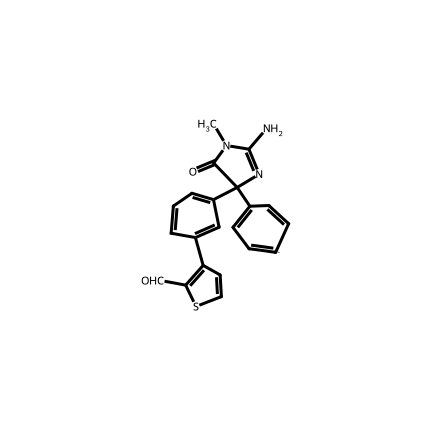 CN1C(=O)C(c2cc[c]cc2)(c2cccc(-c3ccsc3C=O)c2)N=C1N